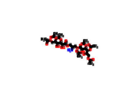 CC(=O)OC[C@@H](O)[C@@H](OC(C)=O)[C@H](OC(C)=O)[C@@H](OC(C)=O)C(=O)OCC(N)COC(=O)[C@H](O)[C@@H](OC(C)=O)[C@H](O)[C@@H](COC(C)=O)OC(C)=O